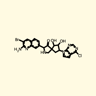 Nc1nc2cc(C3NCC4(CC(n5ccc6c(Cl)ncnc65)C(O)C4O)C3=O)ccc2cc1Br